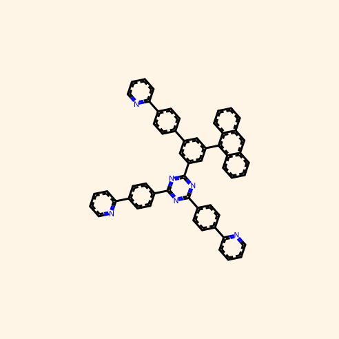 c1ccc(-c2ccc(-c3cc(-c4nc(-c5ccc(-c6ccccn6)cc5)nc(-c5ccc(-c6ccccn6)cc5)n4)cc(-c4c5ccccc5cc5ccccc45)c3)cc2)nc1